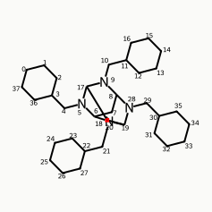 C1CCC(CN2C3CC4N(CC5CCCCC5)C2CC(N3CC2CCCCC2)N4CC2CCCCC2)CC1